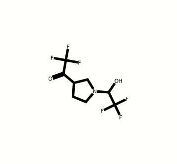 O=C(C1CCN(C(O)C(F)(F)F)C1)C(F)(F)F